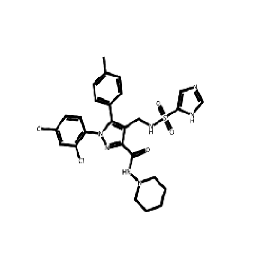 Cc1ccc(-c2c(CNS(=O)(=O)c3cnc[nH]3)c(C(=O)NN3CCCCC3)nn2-c2ccc(Cl)cc2Cl)cc1